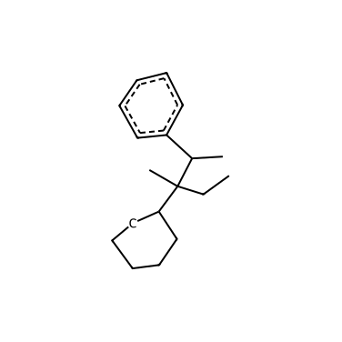 CCC(C)(C1CCCCC1)C(C)c1ccccc1